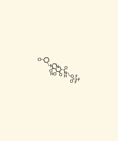 O=C(NCCOC(=O)C(F)(F)F)c1cn2ccn(Cc3cccc(Cl)c3)c(=O)c2c(O)c1=O